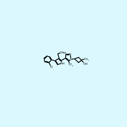 COCc1c(-c2ccccc2Cl)c[nH]c1-c1cnn(C2CC(C)(O)C2)c1C(F)(F)F